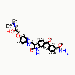 CCN(CC)CC(O)COc1ccc(NC=C2C(=O)Nc3cc(C(=O)c4cccc(C(N)=O)c4)ccc32)cc1